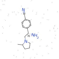 CC1CCCN1C[C@@H](N)c1ccc(C#N)cc1